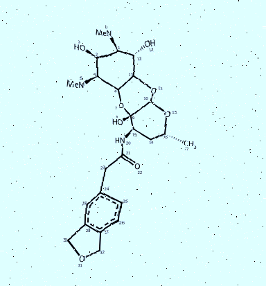 CN[C@@H]1[C@H](O)[C@H](NC)C2O[C@]3(O)C(OC2[C@H]1O)O[C@H](C)C[C@H]3NC(=O)Cc1ccc2c(c1)COC2